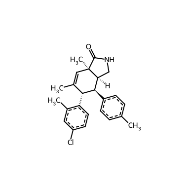 CC1=C[C@@]2(C)C(=O)NC[C@H]2[C@@H](c2ccc(C)cc2)[C@@H]1c1ccc(Cl)cc1C